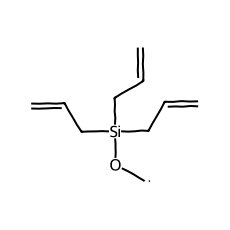 [CH2]O[Si](CC=C)(CC=C)CC=C